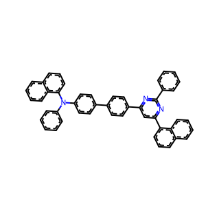 c1ccc(-c2nc(-c3ccc(-c4ccc(N(c5ccccc5)c5cccc6ccccc56)cc4)cc3)cc(-c3cccc4ccccc34)n2)cc1